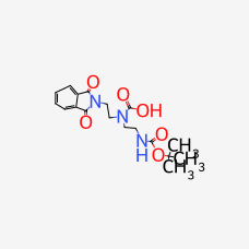 CC(C)(C)OC(=O)NCCN(CCN1C(=O)c2ccccc2C1=O)C(=O)O